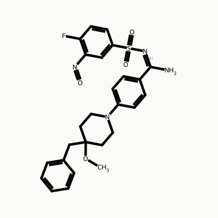 COC1(Cc2ccccc2)CCN(c2ccc(/C(N)=N\S(=O)(=O)c3ccc(F)c(N=O)c3)cc2)CC1